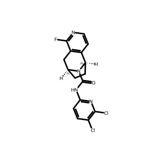 O=C(Nc1ccc(Cl)c(Cl)n1)N1[C@H]2CC[C@@H]1c1ccnc(F)c1C2